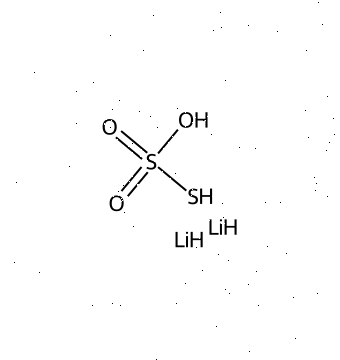 O=S(=O)(O)S.[LiH].[LiH]